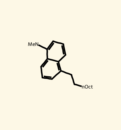 CCCCCCCCCCc1cccc2c(NC)cccc12